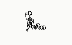 O=C(NC1CCOCC1)c1cc2c(cn1)c(C1CC1)nn2-c1ncc(-c2ccccc2F)cn1